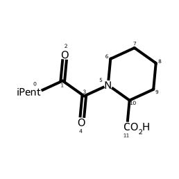 CCCC(C)C(=O)C(=O)N1CCCCC1C(=O)O